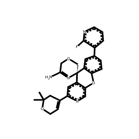 CC1(C)CC(c2cc3c(cn2)Oc2ccc(-c4cccnc4F)cc2[C@@]32COCC(N)=N2)=CCO1